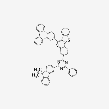 CC1(C)c2ccccc2-c2cc(-c3nc(-c4ccccc4)nc(-c4ccc5c(c4)nc(-c4ccc6c7ccccc7c7ccccc7c6c4)c4c6ccccc6sc54)n3)ccc21